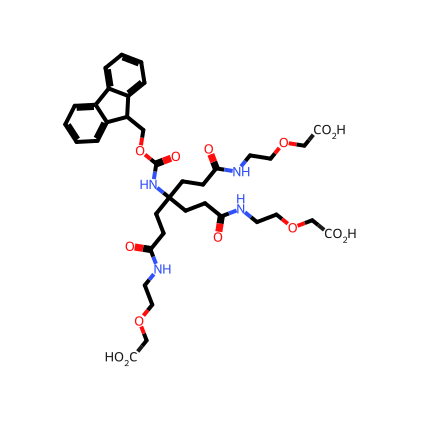 O=C(O)COCCNC(=O)CCC(CCC(=O)NCCOCC(=O)O)(CCC(=O)NCCOCC(=O)O)NC(=O)OCC1c2ccccc2-c2ccccc21